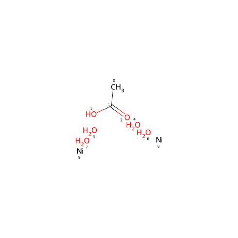 CC(=O)O.O.O.O.O.[Ni].[Ni]